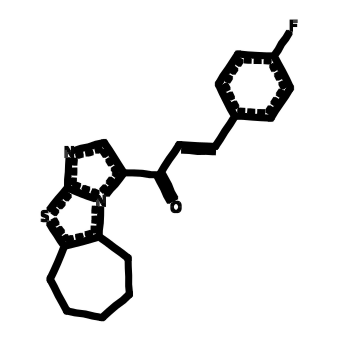 O=C(C=Cc1ccc(F)cc1)c1cnc2sc3c(n12)CCCCC3